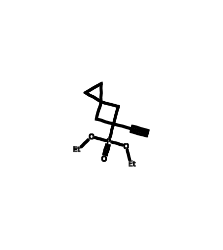 C#CC1(P(=O)(OCC)OCC)CC2(CC2)C1